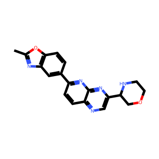 Cc1nc2cc(-c3ccc4ncc(C5COCCN5)nc4n3)ccc2o1